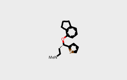 CNCC[C@H](Oc1cccc2c1CCC2)c1cccs1